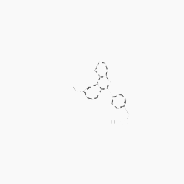 O=S(=O)(O)Cc1ccc(-c2nc3ccccc3c3cc(CS(=O)(=O)O)ccc23)cc1